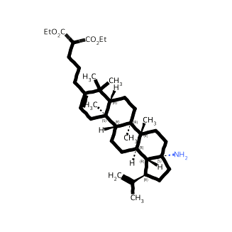 C=C(C)[C@@H]1CC[C@]2(N)CC[C@]3(C)[C@H](CC[C@@H]4[C@@]5(C)CC=C(CCCC(C(=O)OCC)C(=O)OCC)C(C)(C)[C@@H]5CC[C@]43C)[C@@H]12